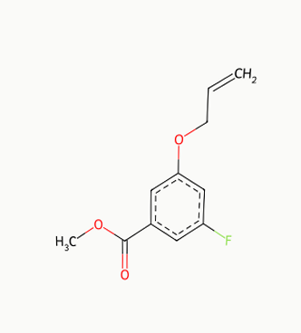 C=CCOc1cc(F)cc(C(=O)OC)c1